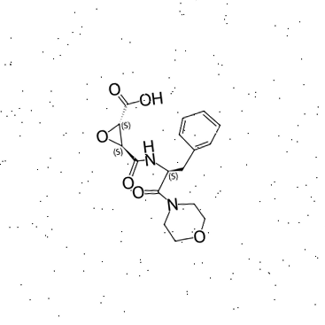 O=C(O)[C@H]1O[C@@H]1C(=O)N[C@@H](Cc1ccccc1)C(=O)N1CCOCC1